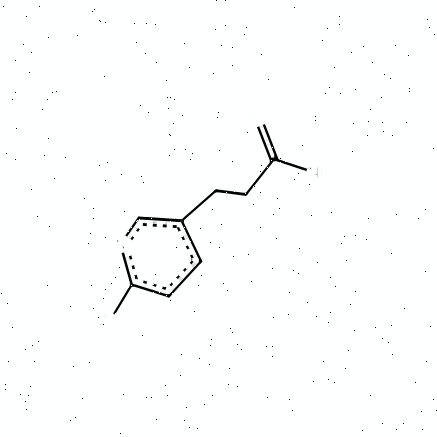 NC(=O)CCc1ccc(Br)nc1